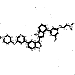 CN(C)CCOc1cc(F)cc(-c2cccc3[nH]c(-c4n[nH]c5ccc(-c6cncc(OC7CCNCC7)c6)cc45)cc23)c1